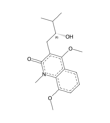 COc1c(C[C@@H](O)C(C)C)c(=O)n(C)c2c(OC)cccc12